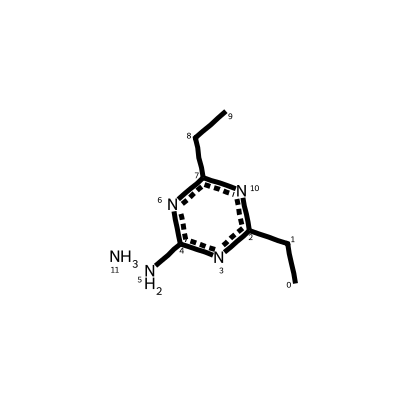 CCc1nc(N)nc(CC)n1.N